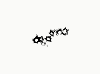 Cn1c(-c2cccc(N3CC[C@@H](NC(=O)CN4CCOCC4)C3)c2)nc2ccccc21